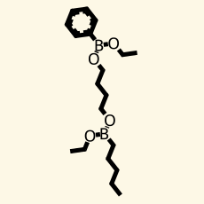 CCCCCB(OCC)OCCCCOB(OCC)c1ccccc1